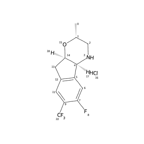 C[C@@H]1CN[C@H]2c3cc(F)c(C(F)(F)F)cc3C[C@H]2O1.Cl